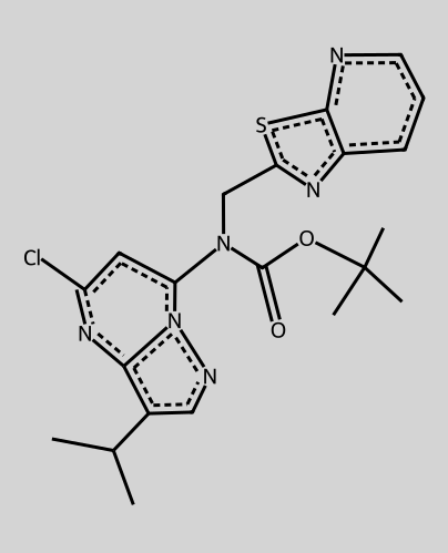 CC(C)c1cnn2c(N(Cc3nc4cccnc4s3)C(=O)OC(C)(C)C)cc(Cl)nc12